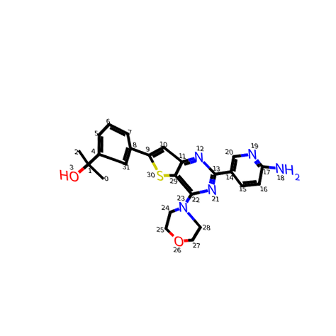 CC(C)(O)c1cccc(-c2cc3nc(-c4ccc(N)nc4)nc(N4CCOCC4)c3s2)c1